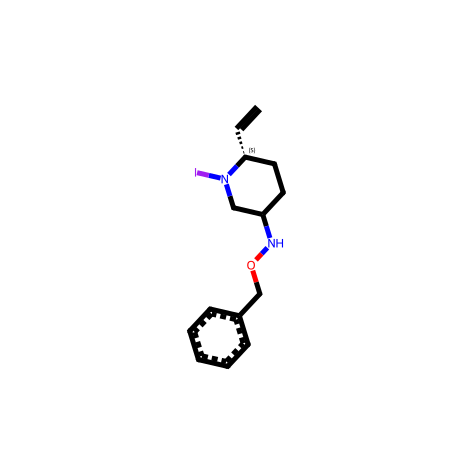 C=C[C@@H]1CCC(NOCc2ccccc2)CN1I